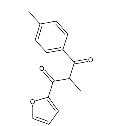 Cc1ccc(C(=O)C(C)C(=O)c2ccco2)cc1